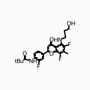 Cc1c(F)c(NCCCO)c2c(=O)cc(-c3ccc(NC(=O)C(C)(C)C)c(F)c3)oc2c1F